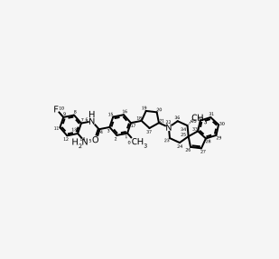 Cc1cc(C(=O)Nc2cc(F)ccc2N)ccc1C1CCC(N2CCC3(C=Cc4ccccc43)[C@@H](C)C2)C1